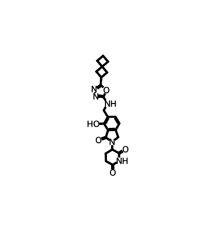 O=C1CCC(N2Cc3ccc(CNc4nnc(C5CC6(CCC6)C5)o4)c(O)c3C2=O)C(=O)N1